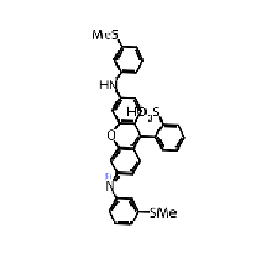 CSc1cccc(/N=c2\ccc3c(-c4ccccc4S(=O)(=O)O)c4ccc(Nc5cccc(SC)c5)cc4oc-3c2)c1